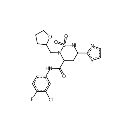 O=C(Nc1ccc(F)c(Cl)c1)C1CC(c2nccs2)NS(=O)(=O)N1CC1CCCO1